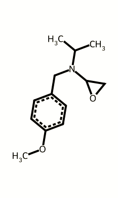 COc1ccc(CN(C(C)C)C2CO2)cc1